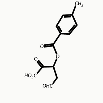 Cc1ccc(C(=O)OC(CC=O)C(=O)C(=O)O)cc1